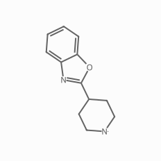 c1ccc2oc(C3CC[N]CC3)nc2c1